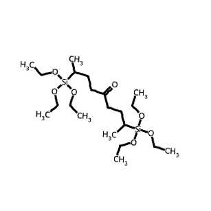 CCO[Si](OCC)(OCC)C(C)CCC(=O)CCC(C)[Si](OCC)(OCC)OCC